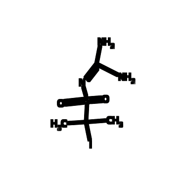 CC(C)(I)S(=O)(=O)N=C(N)N